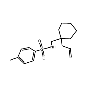 C=CCC1(CNS(=O)(=O)c2ccc(C)cc2)CCCCC1